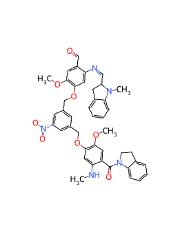 CNc1cc(OCc2cc(COc3cc(/N=C\C4Cc5ccccc5N4C)c(C=O)cc3OC)cc([N+](=O)[O-])c2)c(OC)cc1C(=O)N1CCc2ccccc21